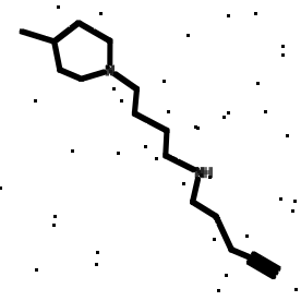 C#CCCCNCCCCN1CCC(C)CC1